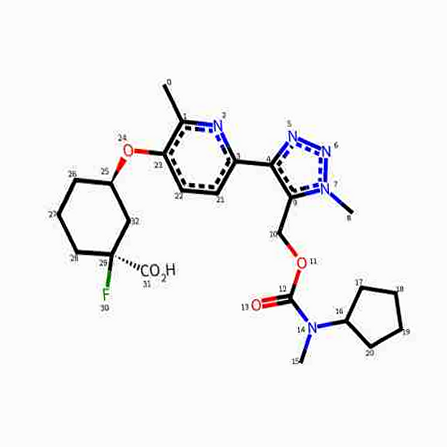 Cc1nc(-c2nnn(C)c2COC(=O)N(C)C2CCCC2)ccc1O[C@@H]1CCC[C@@](F)(C(=O)O)C1